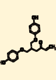 C=CC(=O)CC(COc1ccc(O)cc1)COc1ccc(O)cc1